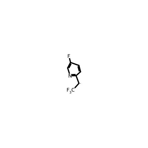 Fc1ccc([CH]C(F)(F)F)nc1